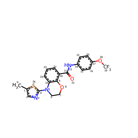 Cc1cnc(N2CCOc3c(C(=O)Nc4ccc(OC(F)(F)F)cc4)cccc32)s1